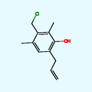 C=CCc1cc(C)c(CCl)c(C)c1O